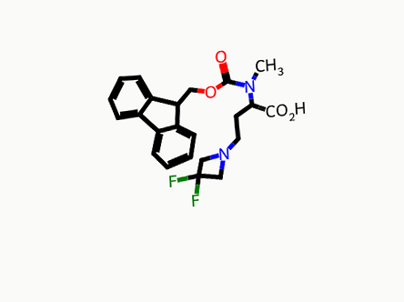 CN(C(=O)OCC1c2ccccc2-c2ccccc21)C(CCN1CC(F)(F)C1)C(=O)O